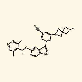 Cc1cnnc(C)c1[C@@H](C)Oc1ccc2[nH]nc(-c3cc(C#N)cc(N4CC5(CN(C)C5)C4)c3)c2c1